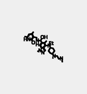 CCN(c1c(C)c(C(O)NCc2c(C)cc(C)[nH]c2=O)cc2c1cnn2C)C1CCC(N(C)CCN(C)C)CC1